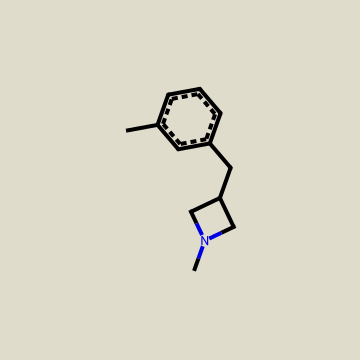 Cc1cccc(CC2CN(C)C2)c1